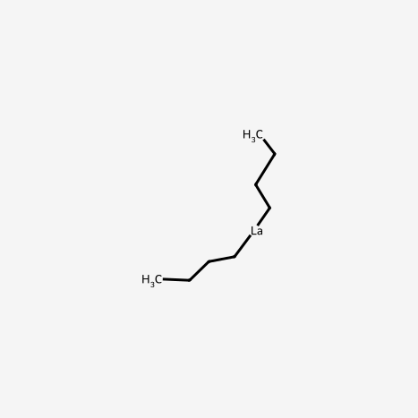 CCC[CH2][La][CH2]CCC